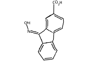 O=C(O)c1ccc2c(c1)C(=NO)c1ccccc1-2